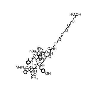 CCCC[C@@H](C(=O)N(C)[C@@H](CCCC)C(=O)N[C@@H](CC(C)C)C(=O)N[C@@H](CSCC(=O)N[C@@H](Cc1ccc(O)cc1)C(=O)N(C)[C@@H](C)C(=O)N[C@@H](CC(N)=O)C(=O)N1CCC[C@H]1C(=O)NC)C(=O)NCC(=O)NCCOCCOCCOCCOCCOCCOCCC(O)O)N(C)C(=O)[C@@H](C)Nc1ccccc1C